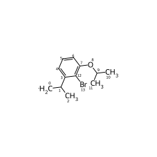 [CH2]C(C)c1cccc(OC(C)C)c1Br